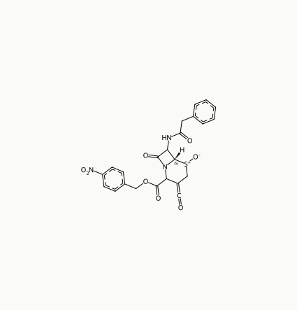 O=C=C1C[S+]([O-])[C@H]2C(NC(=O)Cc3ccccc3)C(=O)N2C1C(=O)OCc1ccc([N+](=O)[O-])cc1